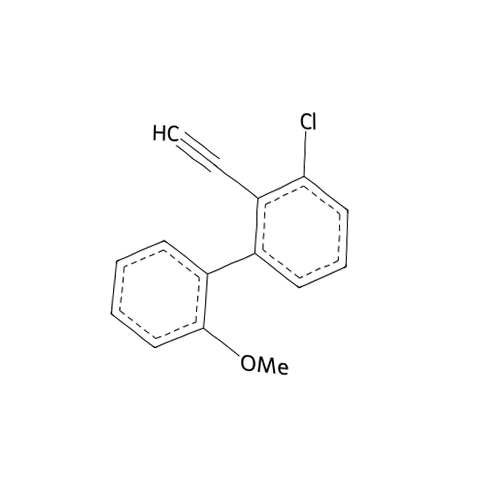 C#Cc1c(Cl)cccc1-c1ccccc1OC